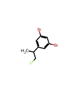 [CH2]C(CF)c1cc(Br)cc(Br)c1